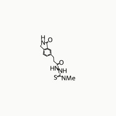 CNC(=S)NNC(=O)CCc1ccc2c(c1)C(=O)NC2